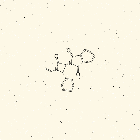 C=CN1C(=O)[C@H](N2C(=O)c3ccccc3C2=O)[C@@H]1c1ccccc1